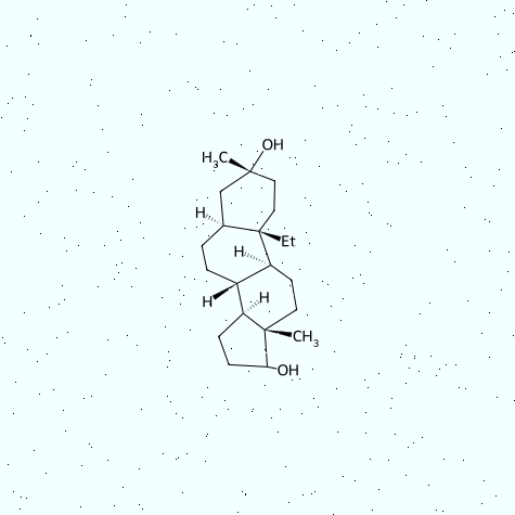 CC[C@]12CC[C@@](C)(O)C[C@@H]1CC[C@@H]1[C@@H]2CC[C@]2(C)C(O)CC[C@@H]12